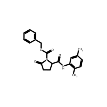 Cc1ccc(C)c(NC(=O)C2CCC(=O)N2C(=O)OCc2ccccc2)c1